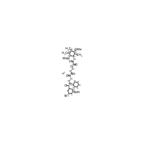 CCC[n+]1cc(Br)cc(C(=O)N(CCC(=O)NCCOC(=O)NCc2c(C)c(OC)c(C)c(C)c2OC)c2ccccc2)c1.[I-]